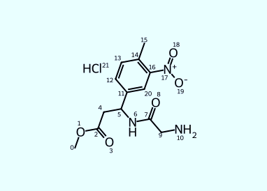 COC(=O)CC(NC(=O)CN)c1ccc(C)c([N+](=O)[O-])c1.Cl